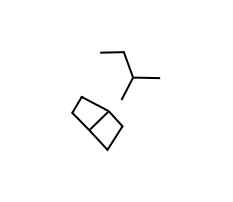 C1CC2CCC12.CCC(C)C